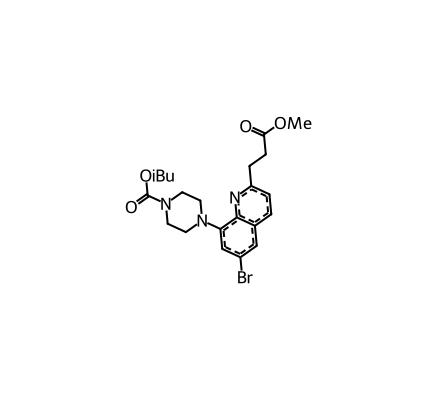 COC(=O)CCc1ccc2cc(Br)cc(N3CCN(C(=O)OCC(C)C)CC3)c2n1